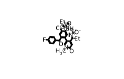 CC[C@H](N[S@@+]([O-])C(C)(C)C)c1cc(=O)n(C)cc1-c1cc(NS(=O)(=O)CC)c(Cl)cc1C(=O)c1ccc(F)cc1